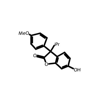 COc1ccc(C2(C(C)C)C(=O)Oc3cc(O)ccc32)cc1